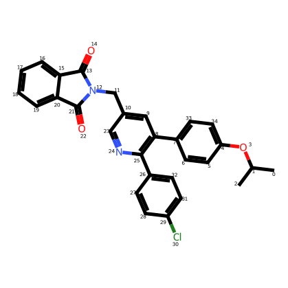 CC(C)Oc1ccc(-c2cc(CN3C(=O)c4ccccc4C3=O)cnc2-c2ccc(Cl)cc2)cc1